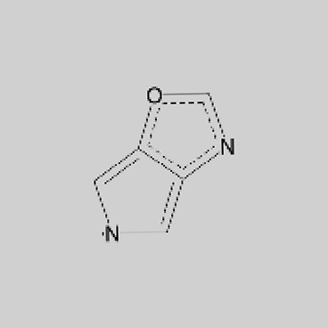 C1=c2ncoc2=C[N]1